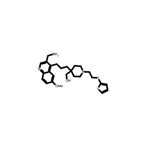 COc1ccc2ncc(CN)c(CCCC3(CO)CCN(CCSc4cccs4)CC3)c2c1